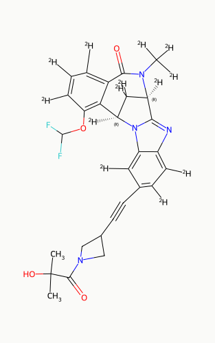 [2H]c1c([2H])c(OC(F)F)c2c(c1[2H])C(=O)N(C([2H])([2H])[2H])[C@@]1([2H])c3nc4c([2H])c([2H])c(C#CC5CN(C(=O)C(C)(C)O)C5)c([2H])c4n3[C@]2([2H])C1([2H])[2H]